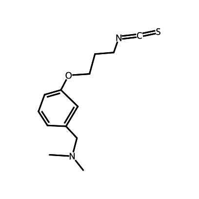 CN(C)Cc1cccc(OCCCN=C=S)c1